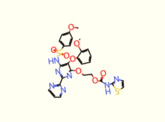 COc1ccc(S(=O)(=O)Nc2nc(-c3ncccn3)nc(OCCOC(=O)Nc3nccs3)c2Oc2ccccc2OC)cc1